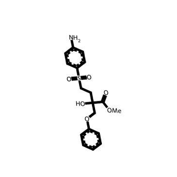 COC(=O)C(O)(CCS(=O)(=O)c1ccc(N)cc1)COc1ccccc1